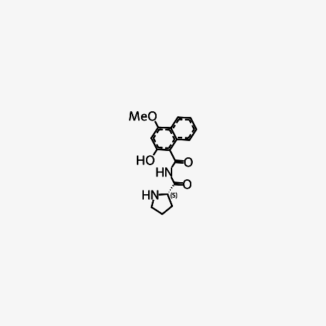 COc1cc(O)c(C(=O)NC(=O)[C@@H]2CCCN2)c2ccccc12